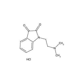 CN(C)CCN1C(=O)C(=O)c2ccccc21.Cl